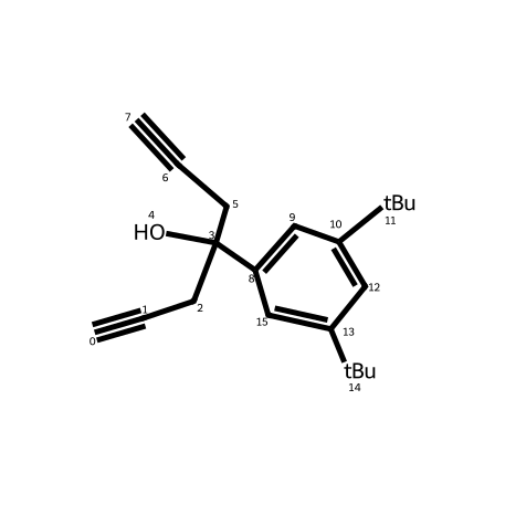 C#CCC(O)(CC#C)c1cc(C(C)(C)C)cc(C(C)(C)C)c1